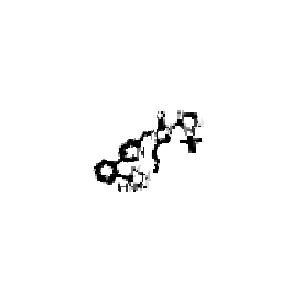 CCCc1cn(-c2ncnn2C(C)(C)C)c(=O)n1Cc1ccc(-c2ccccc2-c2nnn[nH]2)cn1